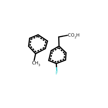 Cc1ccccc1.O=C(O)Cc1ccc(F)cc1